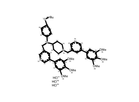 CCCCOc1ccc(N(Cc2cncc(-c3cc(OC)c(OC)c(OC)c3)c2)C2CCN(Cc3cncc(-c4cc(OC)c(OC)c(OC)c4)c3)CC2)cc1.Cl.Cl.Cl